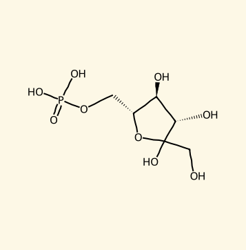 O=P(O)(O)OC[C@H]1OC(O)(CO)[C@@H](O)[C@@H]1O